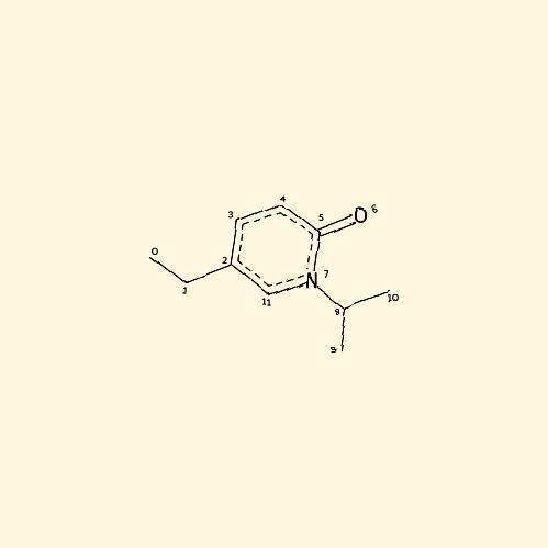 CCc1ccc(=O)n(C(C)C)c1